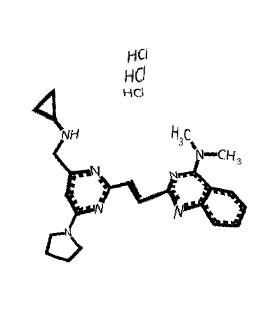 CN(C)c1nc(C=Cc2nc(CNC3CC3)cc(N3CCCC3)n2)nc2ccccc12.Cl.Cl.Cl